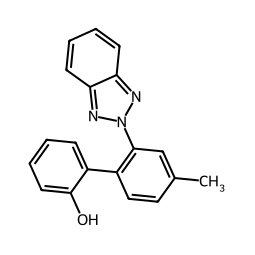 Cc1ccc(-c2ccccc2O)c(-n2nc3ccccc3n2)c1